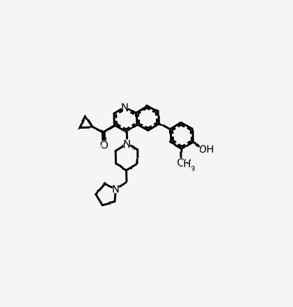 Cc1cc(-c2ccc3ncc(C(=O)C4CC4)c(N4CCC(CN5CCCC5)CC4)c3c2)ccc1O